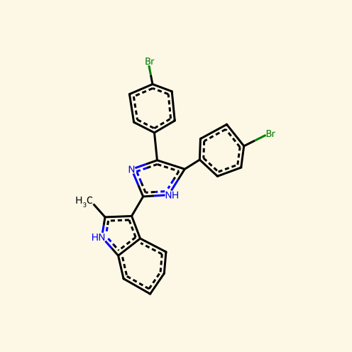 Cc1[nH]c2ccccc2c1-c1nc(-c2ccc(Br)cc2)c(-c2ccc(Br)cc2)[nH]1